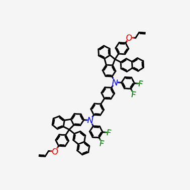 C=CCOc1ccc(C2(c3ccc4ccccc4c3)c3ccccc3-c3ccc(N(c4ccc(-c5ccc(N(c6ccc(F)c(F)c6)c6ccc7c(c6)C(c6ccc(OCC=C)cc6)(c6ccc8ccccc8c6)c6ccccc6-7)cc5)cc4)c4ccc(F)c(F)c4)cc32)cc1